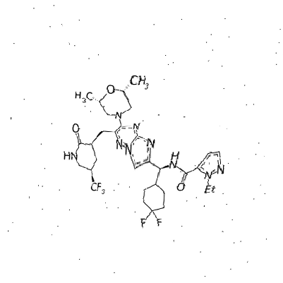 CCn1nccc1C(=O)N[C@H](c1cn2nc(C[C@H]3C[C@@H](C(F)(F)F)CNC3=O)c(N3C[C@@H](C)O[C@@H](C)C3)nc2n1)C1CCC(F)(F)CC1